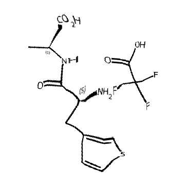 C[C@H](NC(=O)[C@@H](N)Cc1ccsc1)C(=O)O.O=C(O)C(F)(F)F